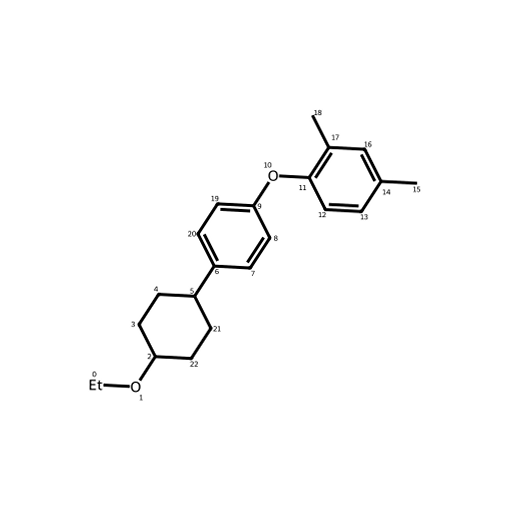 CCOC1CCC(c2ccc(Oc3ccc(C)cc3C)cc2)CC1